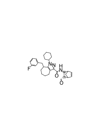 O=C[C@H]1C2C=CC(C2)[C@H]1NC(=O)c1nn(C2CCCCC2)c2c1CCCCC2Cc1cccc(F)c1